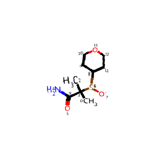 CC(C)(C(N)=O)[S+]([O-])C1CCOCC1